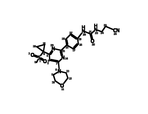 CS(=O)(=O)C1(c2cc(N3CCOCC3)nc(-c3ccc(NC(=O)NCCC#N)cc3)n2)CC1